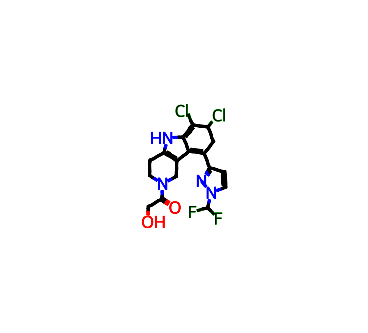 O=C(CO)N1CCc2[nH]c3c(c2C1)=C(c1ccn(C(F)F)n1)CC(Cl)C=3Cl